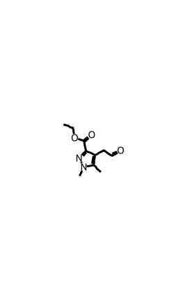 CCOC(=O)c1nn(C)c(C)c1CC=O